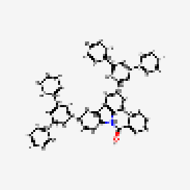 O=c1c2ccccc2c2cc(-c3cc(-c4ccccc4)cc(-c4ccccc4)c3)cc3c4c(n1c32)C=CC(c1cc(C2=CC=CCC2)cc(-c2ccccc2)c1)C4